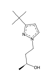 C[C@H](O)CCn1ccc(C(C)(C)C)n1